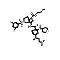 COCCOC(=O)n1nc(NC(=O)c2ccc(N(C)CCN(C)C)cc2NC2CCOCC2)c2c1CCN(S(=O)(=O)c1cc(F)cc(F)c1)C2